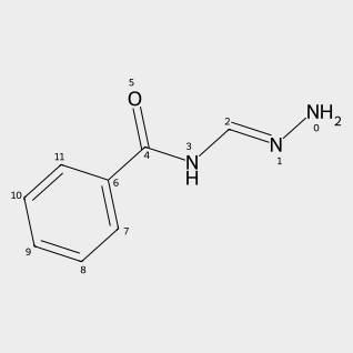 NN=CNC(=O)c1ccccc1